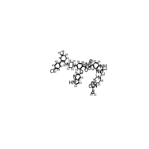 C[C@@H](CCN1CCS(=O)(=NC(=O)C2CC2)CC1)Nc1ccc(S(=O)(=O)NC(=O)c2ccc(N3CCN(CC4=C(c5ccc(Cl)cc5)CC(C)(C)CC4)CC3)cc2Oc2cnc3[nH]ccc3c2)cc1[N+](=O)[O-]